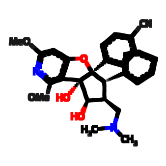 COc1cc2c(c(OC)n1)[C@]1(O)[C@H](O)[C@H](CN(C)C)[C@@H](c3ccccc3)[C@]1(c1ccc(C#N)cc1)O2